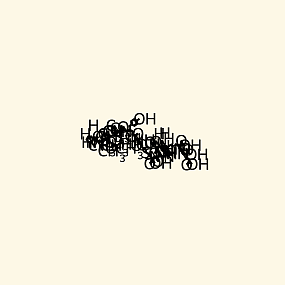 CCCC(=O)OCN(C(=O)[C@@H](NC(=O)[C@H]1CCCCN1C)C(C)CC)[C@H](C[C@@H](OC(C)=O)c1nc(C(=O)N[C@@H](Cc2ccc(O)cc2)C[C@H](C)C(=O)NNC(=O)OCCSSC[C@H](NC(=O)[C@H](Cc2c[nH]cn2)NC(=O)[C@H](CC(=O)O)NC(=O)NCCCC[C@H](NC(=O)N[C@@H](CCC(=O)O)C(=O)O)C(=O)O)C(=O)O)cs1)C(C)C